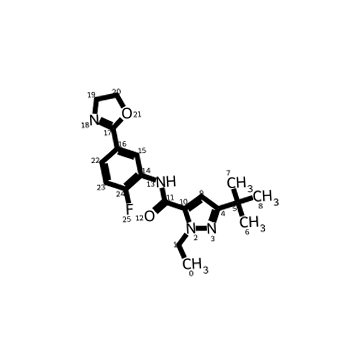 CCn1nc(C(C)(C)C)cc1C(=O)Nc1cc(C2=NCCO2)ccc1F